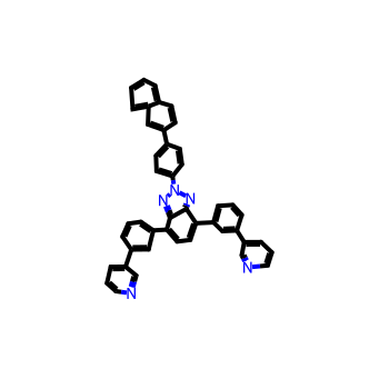 c1cncc(-c2cccc(-c3ccc(-c4cccc(-c5cccnc5)c4)c4nn(-c5ccc(-c6ccc7ccccc7c6)cc5)nc34)c2)c1